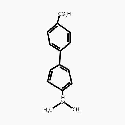 C[SiH](C)c1ccc(-c2ccc(C(=O)O)cc2)cc1